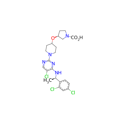 C[C@@H](Nc1nc(N2CCC(O[C@H]3CCN(C(=O)O)C3)CC2)ncc1Cl)c1ccc(Cl)cc1Cl